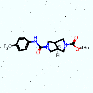 CC(C)(C)OC(=O)N1CC2CN(C(=O)Nc3ccc(C(F)(F)F)cc3)C[C@@H]2C1